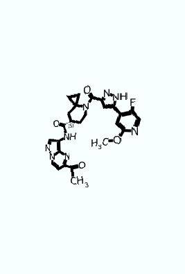 COc1cc(-c2cc(C(=O)N3CC[C@H](C(=O)Nc4cnn5ccc(C(C)=O)nc45)CC34CC4)n[nH]2)c(F)cn1